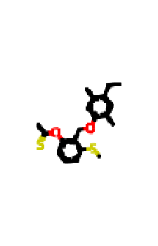 CCc1cc(C)c(OCc2c(OC(C)=S)cccc2SC)cc1C